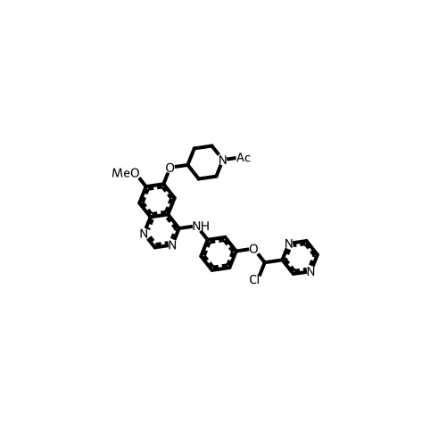 COc1cc2ncnc(Nc3cccc(OC(Cl)c4cnccn4)c3)c2cc1OC1CCN(C(C)=O)CC1